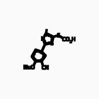 Cc1nc(-c2ccc(OCC(C)C)c(C#N)c2)sc1SC(=O)O